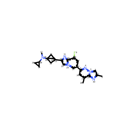 Cc1cn2nc(-c3cc(F)c4nc(C56CC(N(C)C7CC7)(C5)C6)cn4c3)cc(C)c2n1